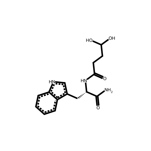 NC(=O)[C@H](Cc1c[nH]c2ccccc12)NC(=O)CCC(O)O